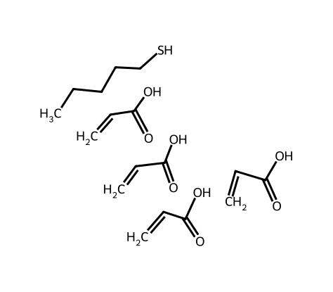 C=CC(=O)O.C=CC(=O)O.C=CC(=O)O.C=CC(=O)O.CCCCCS